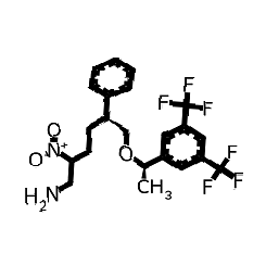 C[C@@H](OC[C@@H](CCC(CN)[N+](=O)[O-])c1ccccc1)c1cc(C(F)(F)F)cc(C(F)(F)F)c1